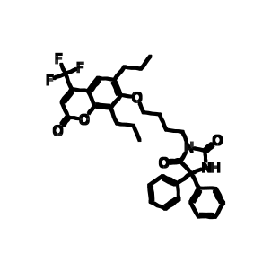 CCCc1cc2c(C(F)(F)F)cc(=O)oc2c(CCC)c1OCCCCN1C(=O)NC(c2ccccc2)(c2ccccc2)C1=O